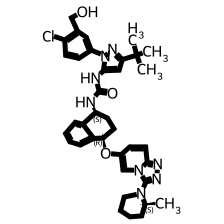 C[C@H]1CCCCN1c1nnc2ccc(O[C@@H]3CC[C@H](NC(=O)Nc4cc(C(C)(C)C)nn4-c4ccc(Cl)c(CO)c4)c4ccccc43)cn12